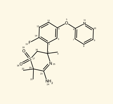 CC1(c2cc(Oc3ccccn3)ccc2F)CS(=O)(=O)C(C)(C)C(N)=N1